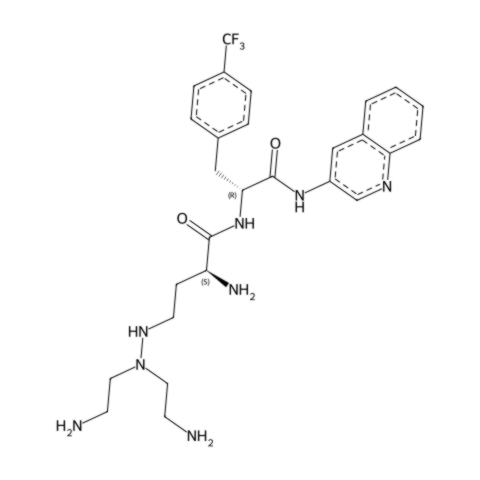 NCCN(CCN)NCC[C@H](N)C(=O)N[C@H](Cc1ccc(C(F)(F)F)cc1)C(=O)Nc1cnc2ccccc2c1